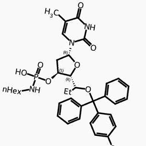 CCCCCCNP(=O)(O)O[C@H]1C[C@H](n2cc(C)c(=O)[nH]c2=O)O[C@@H]1C(CC)OC(c1ccccc1)(c1ccccc1)c1ccc(OC)cc1